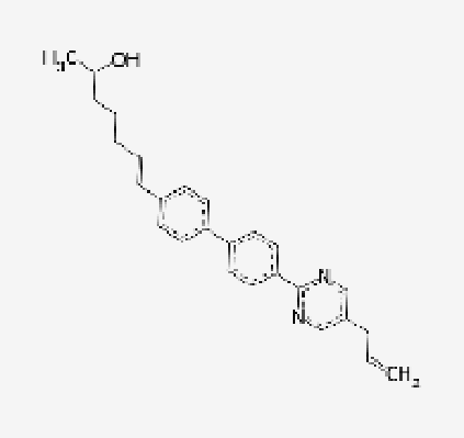 C=CCc1cnc(-c2ccc(-c3ccc(/C=C/CCCC(C)O)cc3)cc2)nc1